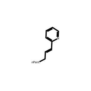 CCCCCCC=Cc1ccccn1